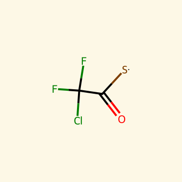 O=C([S])C(F)(F)Cl